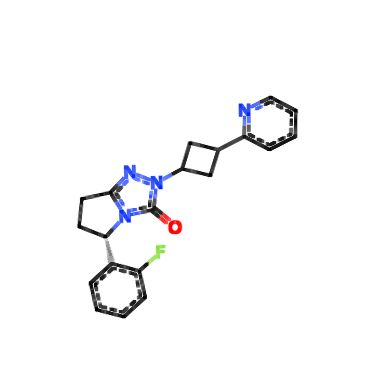 O=c1n(C2CC(c3ccccn3)C2)nc2n1[C@H](c1ccccc1F)CC2